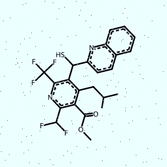 COC(=O)c1c(C(F)F)nc(C(F)(F)F)c(C(S)c2ccc3ccccc3n2)c1CC(C)C